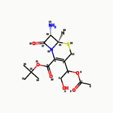 CC(=O)OC(CO)C1=C(C(=O)OC(C)(C)C)N2C(=O)[C@H](N)[C@H]2SC1